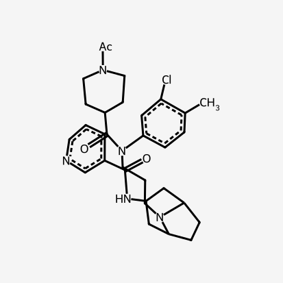 CC(=O)N1CCC(C(=O)N(CCCN2C3CCC2CC(NC(=O)c2cccnc2)C3)c2ccc(C)c(Cl)c2)CC1